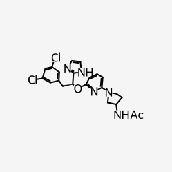 CC(=O)NC1CCN(c2cccc(O[C@@H](Cc3cc(Cl)cc(Cl)c3)c3ncc[nH]3)n2)C1